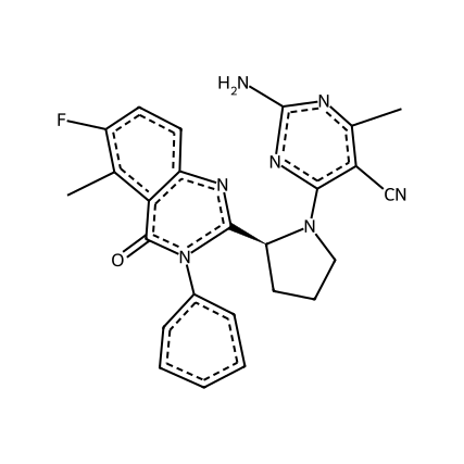 Cc1nc(N)nc(N2CCC[C@H]2c2nc3ccc(F)c(C)c3c(=O)n2-c2ccccc2)c1C#N